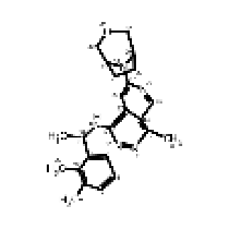 Cc1cccc([C@@H](C)Nc2nnc(C)c3cnc(N4C5CCC4COC5)cc23)c1C